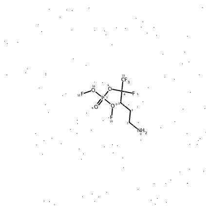 NCCCC(F)(OP(=O)(OF)OF)C(F)(F)F